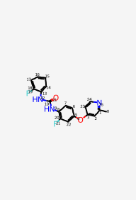 Cc1cc(Oc2ccc(NC(=O)Nc3ccccc3F)c(F)c2)ccn1